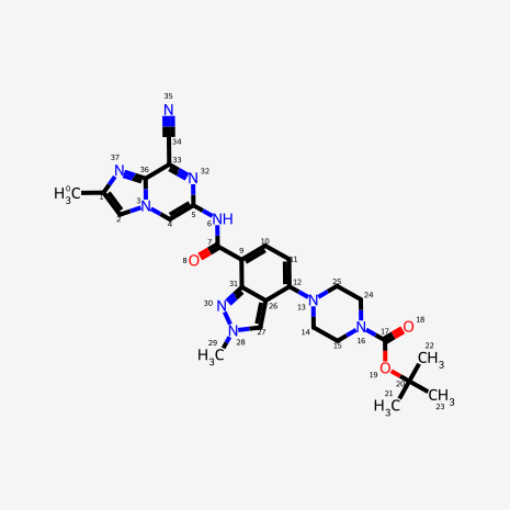 Cc1cn2cc(NC(=O)c3ccc(N4CCN(C(=O)OC(C)(C)C)CC4)c4cn(C)nc34)nc(C#N)c2n1